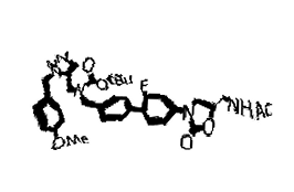 COc1ccc(Cn2nncc2CN(Cc2ccc(-c3ccc(N4C[C@H](CNC(C)=O)OC4=O)cc3F)cc2)C(=O)OC(C)(C)C)cc1